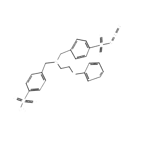 CS(=O)(=O)c1ccc(CN(CCSc2ccccc2)Cc2ccc(S(=O)(=O)N=[N+]=[N-])cc2)cc1